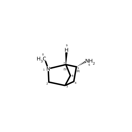 CN1CC2C[C@@H](N)[C@@H]1C2